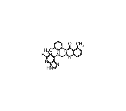 Cc1cccc(-n2c(CNc3nc(F)nc4[nH]cnc34)nc3cccc(C)c3c2=O)c1